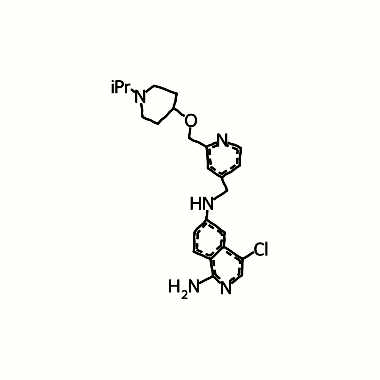 CC(C)N1CCC(OCc2cc(CNc3ccc4c(N)ncc(Cl)c4c3)ccn2)CC1